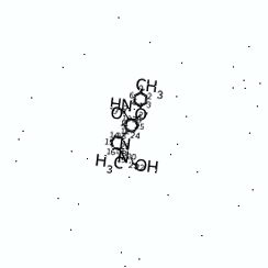 Cc1ccc2c(c1)NC(=O)c1cc(-c3cccc(N(C)CCO)n3)ccc1O2